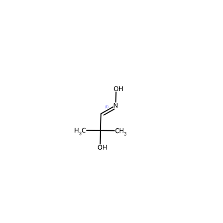 CC(C)(O)/C=N/O